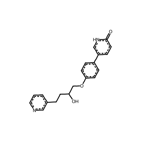 O=c1ccc(-c2ccc(OCC(O)CCc3cccnc3)cc2)c[nH]1